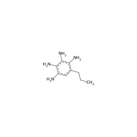 CCCc1cc(N)c(N)c(N)c1N